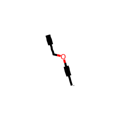 C#CCOC#C[CH2]